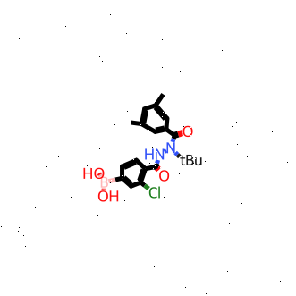 Cc1cc(C)cc(C(=O)N(NC(=O)c2ccc(B(O)O)cc2Cl)C(C)(C)C)c1